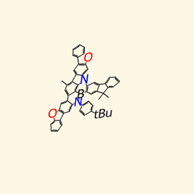 Cc1cc2c3c4c1c1cc5c(cc1n4-c1cc4c(cc1B3N(c1ccc(C(C)(C)C)cc1)c1cc3c(cc1-2)oc1ccccc13)C(C)(C)c1ccccc1-4)oc1ccccc15